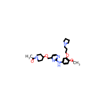 COc1ccc(Nc2nccc(COC3CCN(C(C)=O)CC3)n2)cc1OCCCN1CCCC1